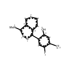 CNc1nnc(-c2cc(F)c(C(F)(F)F)cc2O)c2ccncc12